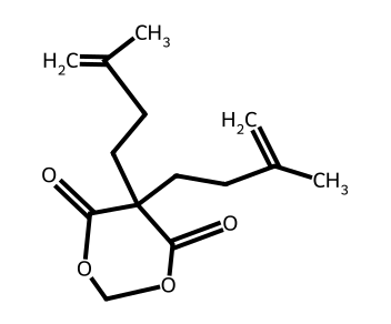 C=C(C)CCC1(CCC(=C)C)C(=O)OCOC1=O